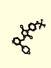 O=C1CN(Cc2ccncc2N2CCOCC2)C(=O)N1c1ccc(SC(F)(F)F)cc1